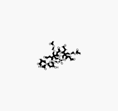 CC(=O)OCOCC(COP(=O)(OC[C@H]1O[C@@H](n2cc(C)c(=O)[nH]c2=O)CC1O)OCC(COCOC(C)=O)(C(=O)CC=O)C(=O)CC=O)(C(=O)CC=O)C(=O)CC=O